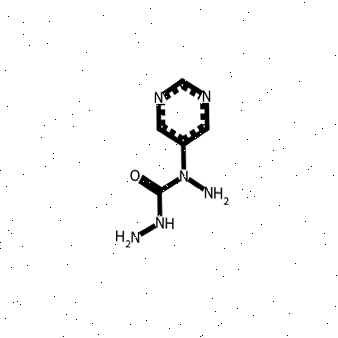 NNC(=O)N(N)c1cncnc1